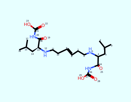 CC(C)CC(NCCC=CCCN[C@@H](CC(C)C)C(=O)NC(=O)O)C(=O)NC(=O)O